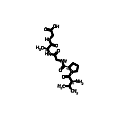 CC(C)[C@H](N)C(=O)N1CCC[C@H]1C(=O)NCC(=O)N[C@@H](C)C(=O)NCC(=O)O